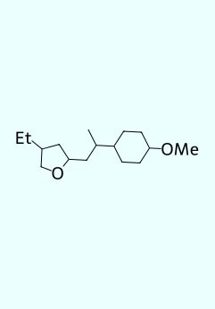 CCC1COC(CC(C)C2CCC(OC)CC2)C1